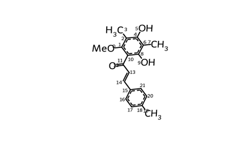 COc1c(C)c(O)c(C)c(O)c1C(=O)/C=C/c1ccc(C)cc1